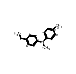 CCc1ccc(N(C)c2ccc(C)cc2)cc1